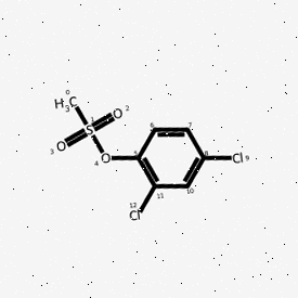 CS(=O)(=O)Oc1[c]cc(Cl)cc1Cl